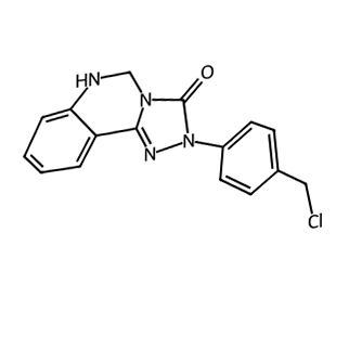 O=c1n(-c2ccc(CCl)cc2)nc2n1CNc1ccccc1-2